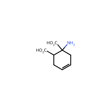 NC1(C(=O)O)CC=CCC1C(=O)O